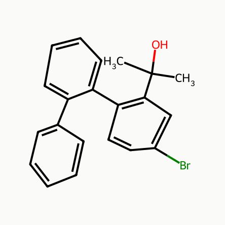 CC(C)(O)c1cc(Br)ccc1-c1ccccc1-c1ccccc1